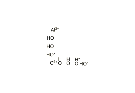 [Al+3].[C+4].[OH-].[OH-].[OH-].[OH-].[OH-].[OH-].[OH-]